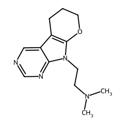 CN(C)CCn1c2c(c3cncnc31)CCCO2